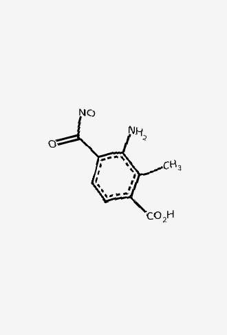 Cc1c(C(=O)O)ccc(C(=O)N=O)c1N